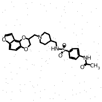 CC(=O)Nc1ccc(S(=O)(=O)NCC2CCN(CC3COc4ccc5occc5c4O3)CC2)cc1